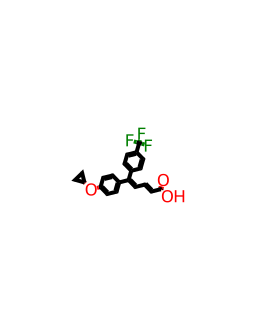 O=C(O)C=CC=C(c1ccc(OC2CC2)cc1)c1ccc(C(F)(F)F)cc1